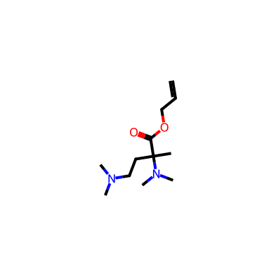 C=CCOC(=O)C(C)(CCN(C)C)N(C)C